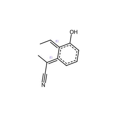 C/C=c1/c(O)ccc/c1=C(/C)C#N